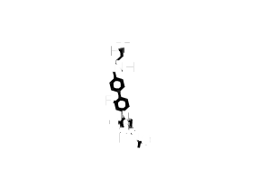 CC(=O)NC[C@H]1CN(c2ccc(-c3ccc(CNCCC(F)(F)F)cc3)c(F)c2)C(=O)O1